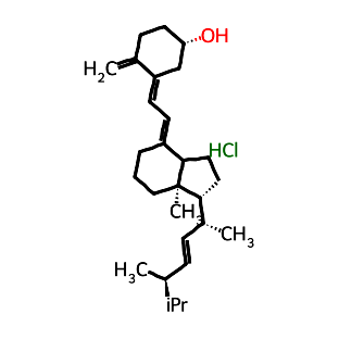 C=C1CC[C@H](O)CC1=CC=C1CCC[C@@]2(C)C1CC[C@@H]2[C@H](C)C=C[C@H](C)C(C)C.Cl